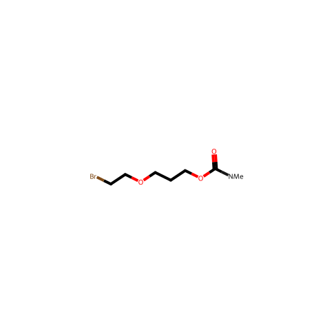 CNC(=O)OCCCOCCBr